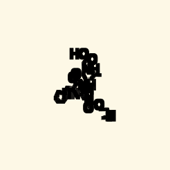 CC(C)C[C@H](NC(=O)[C@H](Cc1ccccc1)NC(=O)CNC(=O)OCC[Si](C)(C)C)C(=O)NCC(=O)O